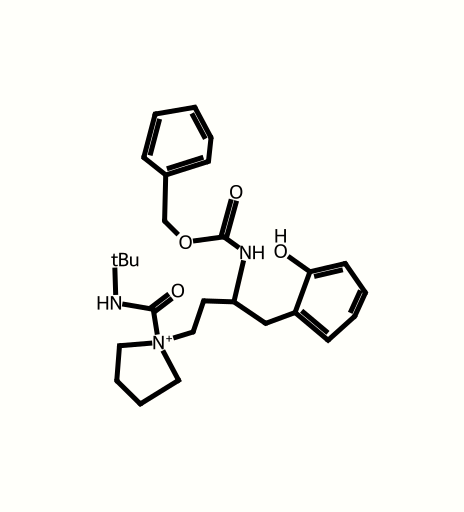 CC(C)(C)NC(=O)[N+]1(CCC(Cc2ccccc2O)NC(=O)OCc2ccccc2)CCCC1